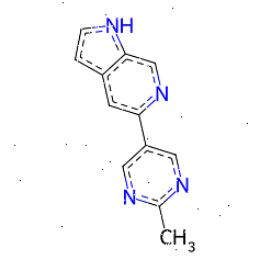 Cc1ncc(-c2cc3cc[nH]c3cn2)cn1